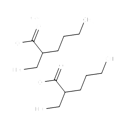 CCCCC(CC)C(=O)[O-].CCCCC(CC)C(=O)[O-].[Ce+2]